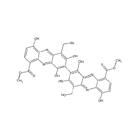 COC(=O)c1ccc(O)c2nc3c(CO)c(O)c(-c4c(O)c(CO)c5nc6c(O)ccc(C(=O)OC)c6nc5c4O)c(O)c3nc12